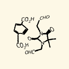 CC1(C)C(=O)N(CC=O)C(=O)N1CC=O.O=C(O)c1ccc(C(=O)O)cc1